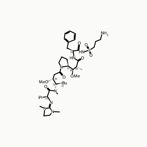 CC[C@H](C)[C@@H]([C@@H](CC(=O)N1CCC[C@H]1[C@H](OC)[C@@H](C)C(=O)N[C@@H](Cc1ccccc1)C(=O)NS(=O)(=O)CCCN)OC)N(C)C(=O)[C@@H](N=C1N(C)CCN1C)C(C)C